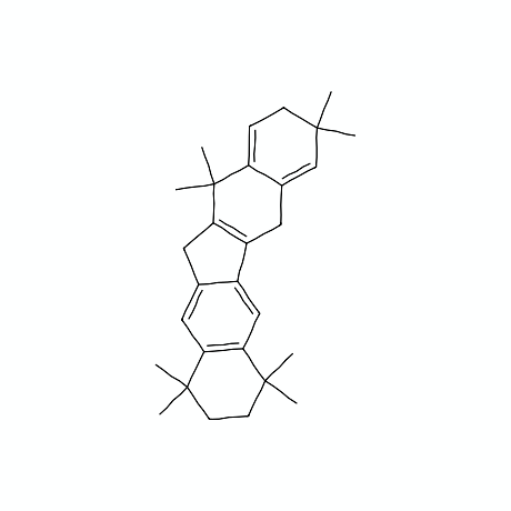 CC1(C)C=C2CC3=C(Cc4cc5c(cc43)C(C)(C)CCC5(C)C)C(C)(C)C2=CC1